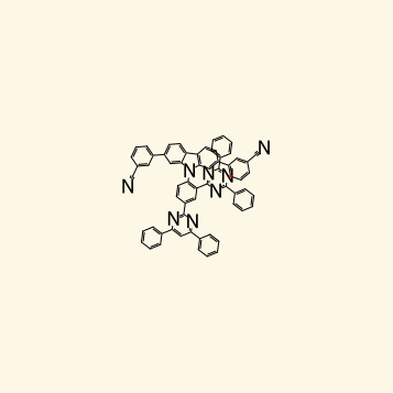 N#Cc1cccc(-c2ccc3c4ccc(-c5cccc(C#N)c5)cc4n(-c4ccc(-c5nc(-c6ccccc6)cc(-c6ccccc6)n5)cc4-c4nc(-c5ccccc5)nc(-c5ccccc5)n4)c3c2)c1